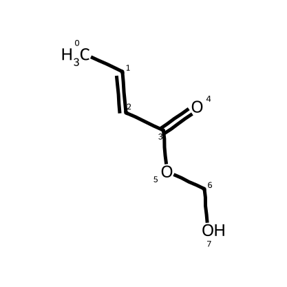 CC=CC(=O)OCO